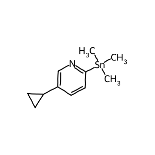 [CH3][Sn]([CH3])([CH3])[c]1ccc(C2CC2)cn1